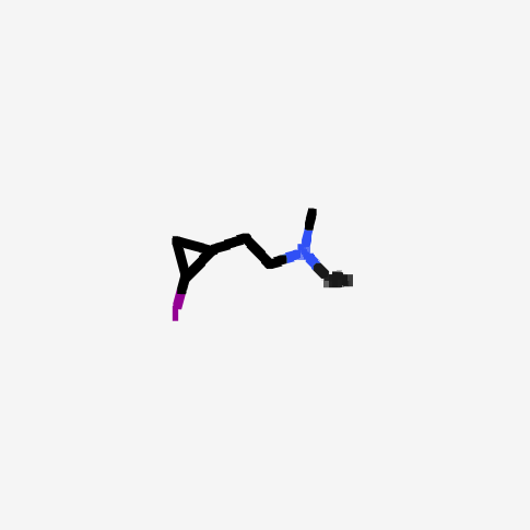 CCCCN(C)CCC1CC1I